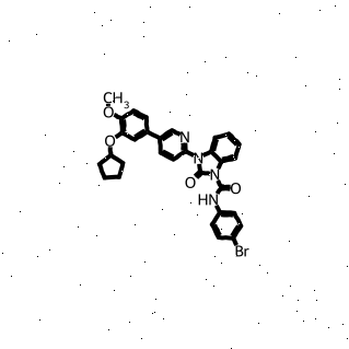 COc1ccc(-c2ccc(-n3c(=O)n(C(=O)Nc4ccc(Br)cc4)c4ccccc43)nc2)cc1OC1CCCC1